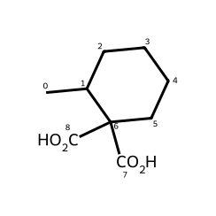 CC1CCCCC1(C(=O)O)C(=O)O